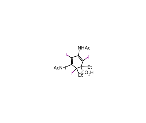 CCC1(I)C(NC(C)=O)=C(I)C(NC(C)=O)=C(I)C1(CC)C(=O)O